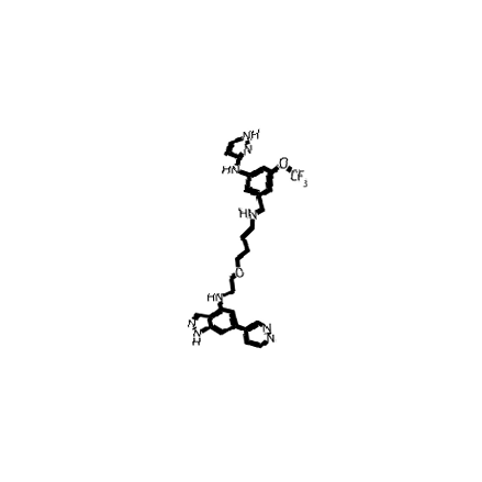 FC(F)(F)Oc1cc(CNCCCCOCCNc2cc(-c3ccnnc3)cc3[nH]ncc23)cc(Nc2cc[nH]n2)c1